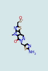 Cn1c2nc(C[S+]=O)sc2c2cnn(Cc3cnc(N)s3)c(=O)c21